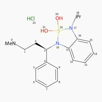 CNCC[C@H](c1ccccc1)N1c2ccccc2N(C(C)C)S1(O)O.Cl